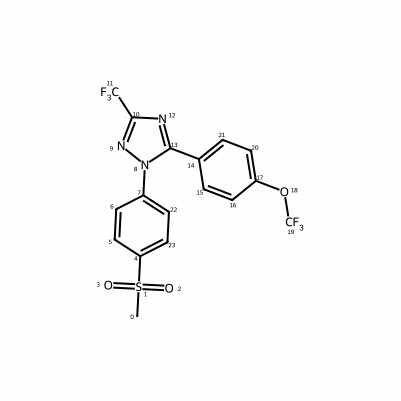 CS(=O)(=O)c1ccc(-n2nc(C(F)(F)F)nc2-c2ccc(OC(F)(F)F)cc2)cc1